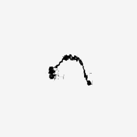 O=C(/C=C/c1cccnc1)NCCCCC1CCN(C(=O)c2ccc(N3CCC(N4CCN(CCCCCSc5cccc6c5C(=O)N(C5CCC(=O)NC5=O)C6=O)CC4)CC3)nc2)CC1